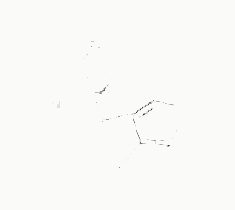 CCCCP(=O)(OCC)Oc1ccccc1F